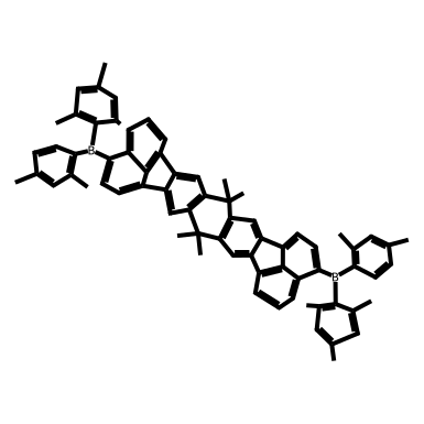 Cc1ccc(B(c2c(C)cc(C)cc2C)c2ccc3c4c(cccc24)-c2cc4c(cc2-3)C(C)(C)c2cc3c(cc2C4(C)C)-c2ccc(B(c4ccc(C)cc4C)c4c(C)cc(C)cc4C)c4cccc-3c24)c(C)c1